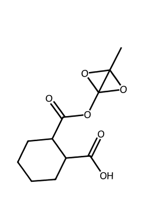 CC12OC1(OC(=O)C1CCCCC1C(=O)O)O2